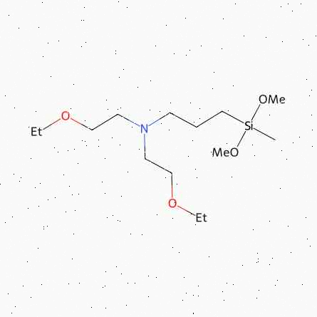 CCOCCN(CCC[Si](C)(OC)OC)CCOCC